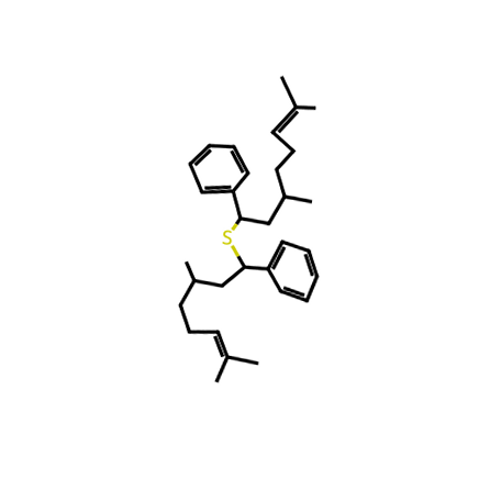 CC(C)=CCCC(C)CC(SC(CC(C)CCC=C(C)C)c1ccccc1)c1ccccc1